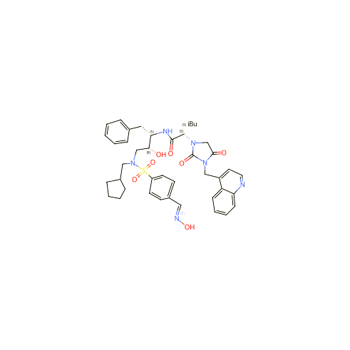 CC[C@H](C)[C@@H](C(=O)N[C@@H](Cc1ccccc1)[C@H](O)CN(CC1CCCC1)S(=O)(=O)c1ccc(/C=N/O)cc1)N1CC(=O)N(Cc2ccnc3ccccc23)C1=O